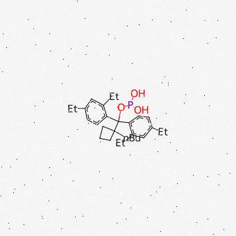 CCCCC1(C(OP(O)O)(c2ccc(CC)cc2CC)c2ccc(CC)cc2CC)CCC1